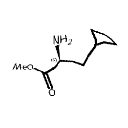 COC(=O)[C@@H](N)CC1CC1